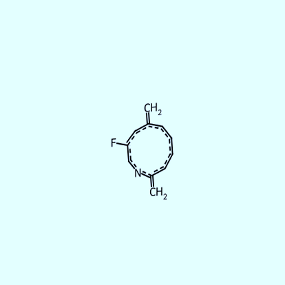 C=c1ccccc(=C)ncc(F)c1